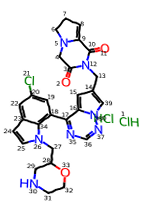 Cl.Cl.O=C1CN2CCC=C2C(=O)N1Cc1cc2c(-c3cc(Cl)cc4ccn(CC5CNCCO5)c34)ncnn2c1